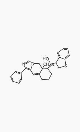 CC12Cn3cnc(-c4ccccc4)c3C=C1CCCC2[C@H](O)C1CSc2ccccc21